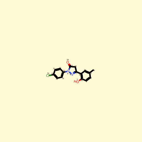 Cc1ccc(O)c(C2=NN(c3ccc(Cl)cc3)C(=O)C2)c1